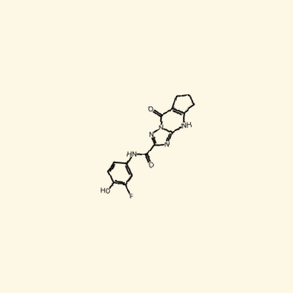 O=C(Nc1ccc(O)c(F)c1)c1nc2[nH]c3c(c(=O)n2n1)CCC3